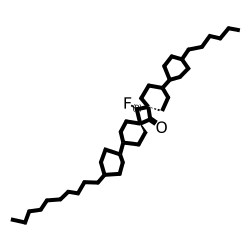 CCCCCCCCCCC1CCC(C2CC[C@]3(CC2)C(=O)[C@@]2(CCC(C4CCC(CCCCCC)CC4)CC2)[C@H]3F)CC1